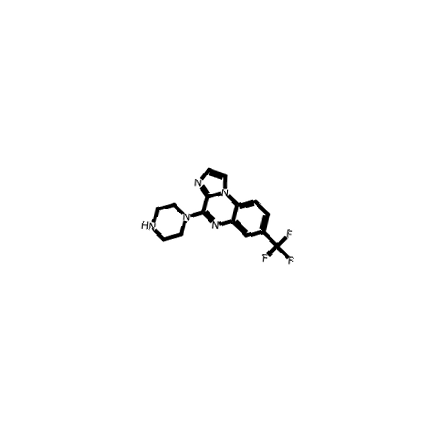 FC(F)(F)c1ccc2c(c1)nc(N1CCNCC1)c1nccn12